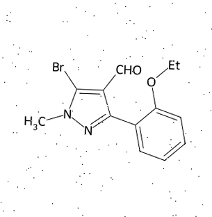 CCOc1ccccc1-c1nn(C)c(Br)c1C=O